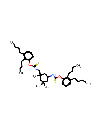 CCCCc1cccc(OC(=S)NCC2(C)CC(NC(=S)Oc3cccc(CCCC)c3CCCC)CC(C)(C)C2)c1CCCC